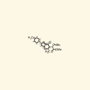 COC(=O)C(OC(C)(C)C)c1c(C)nc2cc(-c3ccc(C)cc3)nn2c1Cl